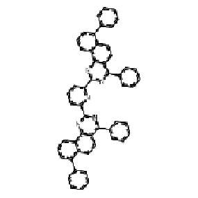 c1ccc(-c2cccc3c2ccc2c(-c4ccccc4)nc(-c4cccc(-c5nc(-c6ccccc6)c6ccc7c(-c8ccccc8)cccc7c6n5)n4)nc23)cc1